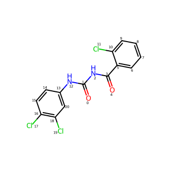 O=C(NC(=O)c1ccccc1Cl)Nc1ccc(Cl)c(Cl)c1